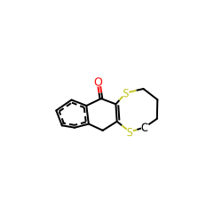 O=C1C2=C(Cc3ccccc31)SCCCCS2